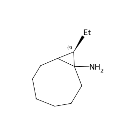 CC[C@@H]1C2CCCCCCC21N